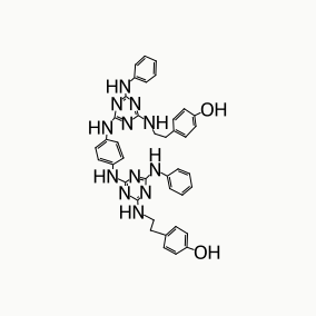 Oc1ccc(CCNc2nc(Nc3ccccc3)nc(Nc3ccc(Nc4nc(NCCc5ccc(O)cc5)nc(Nc5ccccc5)n4)cc3)n2)cc1